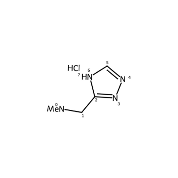 CNCc1nnc[nH]1.Cl